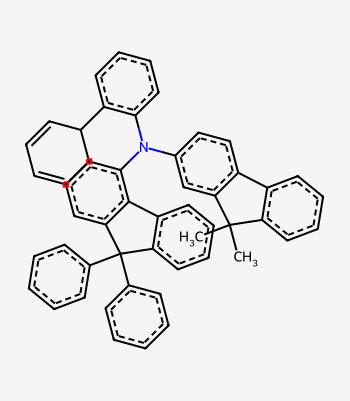 CC1(C)c2ccccc2-c2ccc(N(c3ccccc3C3C=CC=CC3)c3cccc4c3-c3ccccc3C4(c3ccccc3)c3ccccc3)cc21